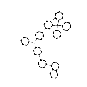 c1ccc(N(c2ccc(-c3cccc(-c4cccc5ccccc45)c3)cc2)c2ccc(-c3ccc4c(c3)C(c3ccccc3)(c3ccccc3)c3ccccc3-4)cc2)cc1